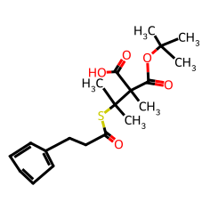 CC(C)(C)OC(=O)C(C)(C(=O)O)C(C)(C)SC(=O)CCc1ccccc1